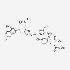 CCn1c(C(=O)OC)c(CCC(=O)OC)c2ccc(Cl)c(-c3c(C)c(C)nn3C/C=C/c3cc(CCc4cc(O)c5ccc(F)cc5c4)n(CCN(C)C)n3)c21